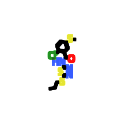 CCCSc1nnc(NC(=O)c2cc(SC)ccc2Cl)s1